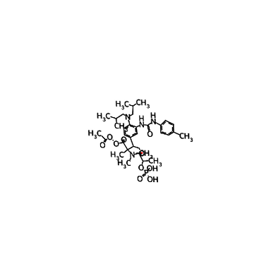 CCC(c1ccc(N(CC(C)C)CC(C)C)c(NC(=O)Nc2ccc(C)cc2)c1)C(C)(C(=O)OOC(C)=O)N(C)C(=O)C(C)OP(=O)(O)O